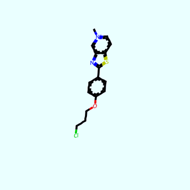 C[n+]1ccc2sc(-c3ccc(OCCCCl)cc3)nc2c1